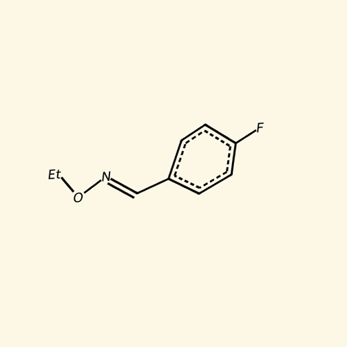 CCON=Cc1ccc(F)cc1